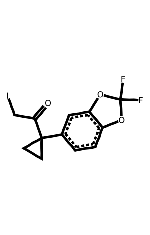 O=C(CI)C1(c2ccc3c(c2)OC(F)(F)O3)CC1